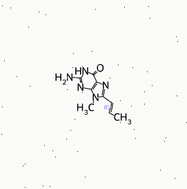 C/C=C/c1nc2c(=O)[nH]c(N)nc2n1C